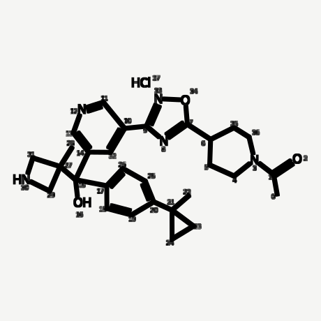 CC(=O)N1CCC(c2nc(-c3cncc(C(O)(c4ccc(C5(C)CC5)cc4)C4(C)CNC4)c3)no2)CC1.Cl